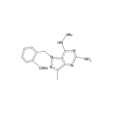 CCCCNc1nc(N)nc2c(C)nn(Cc3ccccc3OC)c12